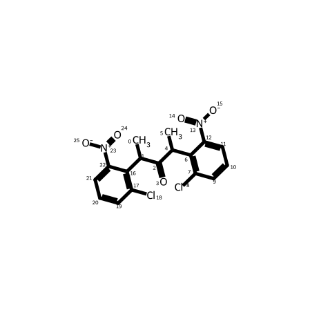 CC(C(=O)C(C)c1c(Cl)cccc1[N+](=O)[O-])c1c(Cl)cccc1[N+](=O)[O-]